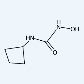 O=C(NO)NC1CCC1